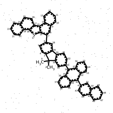 CC1(C)c2ccc(-c3cc4ccccc4c4c3sc3c5ccccc5ccc34)cc2-c2ccc(-c3c4ccccc4c(-c4ccc5ccccc5c4)c4ccccc34)cc21